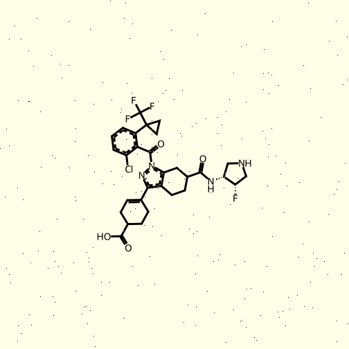 O=C(O)C1CC=C(c2nn(C(=O)c3c(Cl)cccc3C3(C(F)(F)F)CC3)c3c2CCC(C(=O)N[C@@H]2CNC[C@@H]2F)C3)CC1